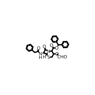 O=COC1CS[C@H]2[C@H](NC(=O)Cc3ccccc3)C(=O)N2C1C(=O)OC(c1ccccc1)c1ccccc1